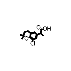 CC(C(=O)O)c1cc(Cl)c2c(c1)CCC(C)(C)O2